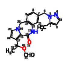 Cc1ccnn1Cc1ccc2c(c1)NC(=O)c1c(C(C)OC=O)ccn1C2